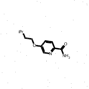 CC(C)CCOc1ccc(C(N)=O)nc1